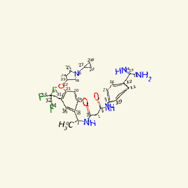 CC(NC(=O)CC(=O)Nc1ccc(C(=N)N)cc1)c1ccc(OC2CCN(C3CC3)C2)c(C(F)(F)F)c1